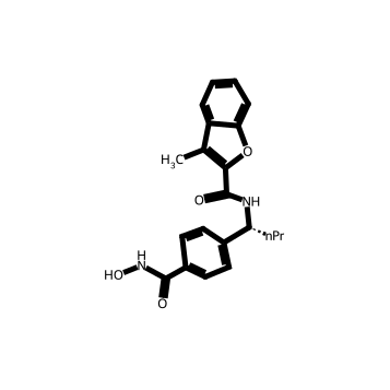 CCC[C@@H](NC(=O)c1oc2ccccc2c1C)c1ccc(C(=O)NO)cc1